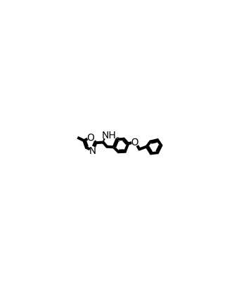 Cc1cnc([C@@H](N)Cc2ccc(OCc3ccccc3)cc2)o1